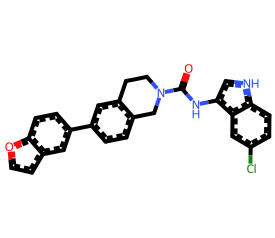 O=C(Nc1c[nH]c2ccc(Cl)cc12)N1CCc2cc(-c3ccc4occc4c3)ccc2C1